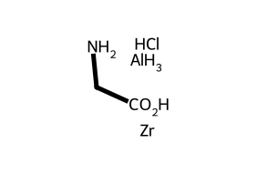 Cl.NCC(=O)O.[AlH3].[Zr]